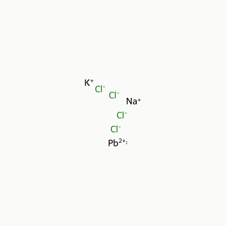 [Cl-].[Cl-].[Cl-].[Cl-].[K+].[Na+].[Pb+2]